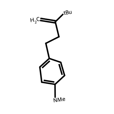 C=C(CCc1ccc(NC)cc1)C(C)(C)C